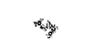 CCCCCC(C(=O)NCNC(=O)c1ccc(-c2cc(OCC)cc(P(=O)(O)O)c2)o1)[C@@H](CC)N(C=O)OC(=O)c1ccc2c(c1)OCCN2C